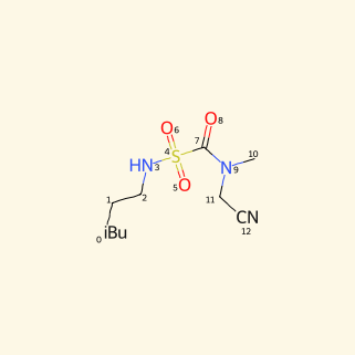 CCC(C)CCNS(=O)(=O)C(=O)N(C)CC#N